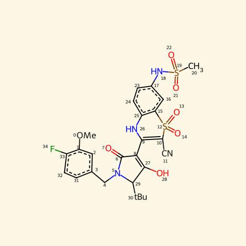 COc1cc(CN2C(=O)C(C3=C(C#N)S(=O)(=O)c4cc(NS(C)(=O)=O)ccc4N3)=C(O)C2C(C)(C)C)ccc1F